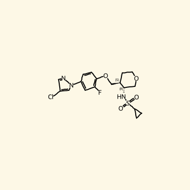 O=S(=O)(N[C@H]1COCC[C@@H]1COc1ccc(-n2cc(Cl)cn2)cc1F)C1CC1